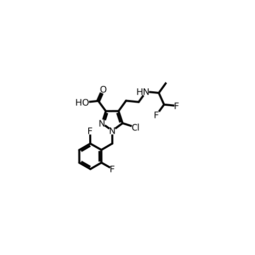 CC(NCCc1c(C(=O)O)nn(Cc2c(F)cccc2F)c1Cl)C(F)F